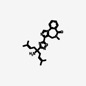 CC(C)=CCC(N)(CC=C(C)C)c1noc(-c2ncn3c2CN(C)C(=O)c2ccccc2-3)n1